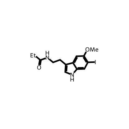 CCC(=O)NCCc1c[nH]c2cc(I)c(OC)cc12